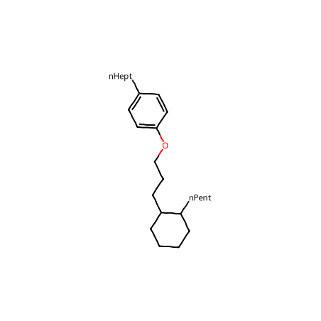 CCCCCCCc1ccc(OCCCC2CCCCC2CCCCC)cc1